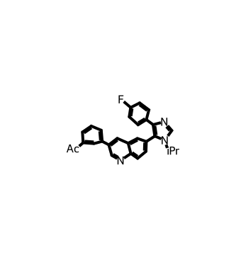 CC(=O)c1cccc(-c2cnc3ccc(-c4c(-c5ccc(F)cc5)ncn4C(C)C)cc3c2)c1